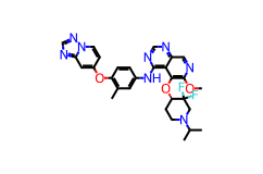 COc1ncc2ncnc(Nc3ccc(Oc4ccn5ncnc5c4)c(C)c3)c2c1O[C@@H]1CCN(C(C)C)CC1(F)F